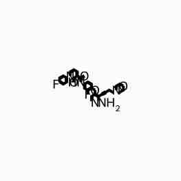 Nc1nccc(Oc2ccc(NC(=O)c3cccn(-c4ccc(F)cc4)c3=O)cc2F)c1C#CCCN1CCOCC1